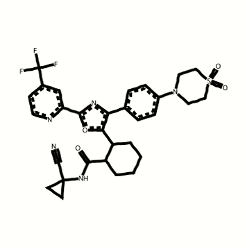 N#CC1(NC(=O)C2CCCCC2c2oc(-c3cc(C(F)(F)F)ccn3)nc2-c2ccc(N3CCS(=O)(=O)CC3)cc2)CC1